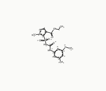 CCOC(=O)c1cnn(C)c1S(=O)(=O)NC(=O)Nc1nc(C)cc(OC)n1